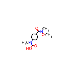 CON(C)C(=O)C1CCC(N(C)C(=O)O)CC1